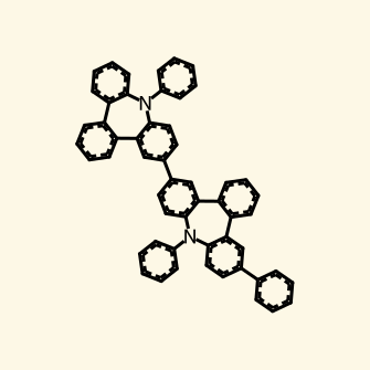 c1ccc(-c2ccc3c(c2)-c2ccccc2-c2cc(-c4ccc5c(c4)-c4ccccc4-c4ccccc4N5c4ccccc4)ccc2N3c2ccccc2)cc1